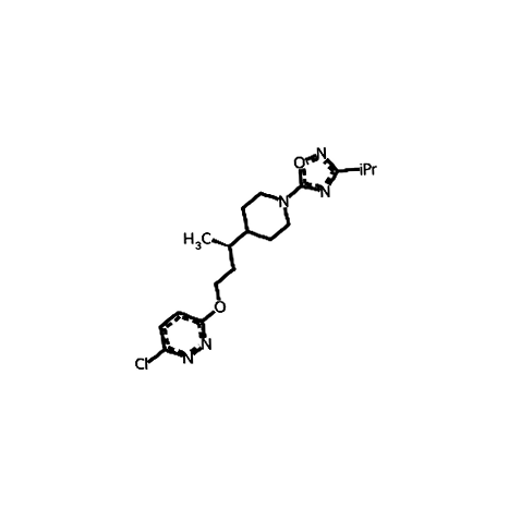 CC(C)c1noc(N2CCC([C@H](C)CCOc3ccc(Cl)nn3)CC2)n1